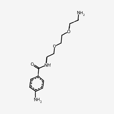 NCCOCCOCCNC(=O)c1ccc(N)cc1